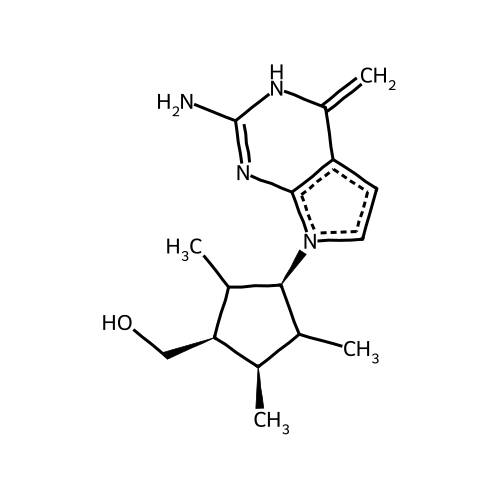 C=C1NC(N)=Nc2c1ccn2[C@H]1C(C)[C@@H](C)[C@@H](CO)C1C